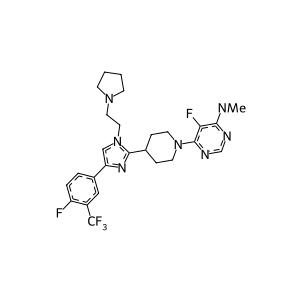 CNc1ncnc(N2CCC(c3nc(-c4ccc(F)c(C(F)(F)F)c4)cn3CCN3CCCC3)CC2)c1F